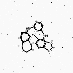 Clc1ccc2c(c1Nc1ccnc(Nc3ccc4c(c3)OCCCO4)n1)OCO2